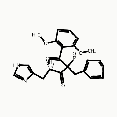 COc1cccc(OC)c1C(=O)C(Cc1ccccc1)(P=O)C(=O)[C@@H](N)Cc1c[nH]cn1